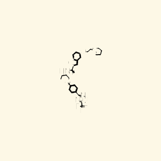 CCC(COc1ccc(-c2noc(C(F)(F)F)n2)cc1)NC(=O)c1cc2cc(OCCN3CCCC3)ccc2o1